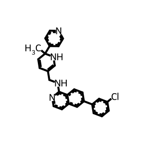 CC1(c2ccncc2)C=CC(CNc2nccc3cc(-c4cccc(Cl)c4)ccc23)=CN1